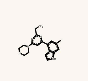 NCc1nc(-c2cc(F)cc3[nH]ccc23)cc(N2CCOCC2)n1